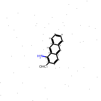 Nc1c(C=O)ccc2cc3ccccc3cc12